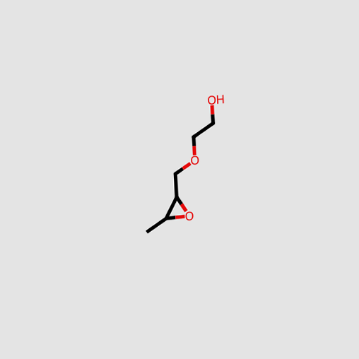 CC1OC1COCCO